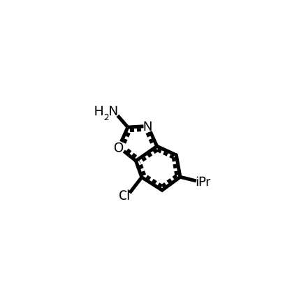 CC(C)c1cc(Cl)c2oc(N)nc2c1